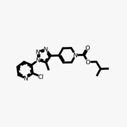 Cc1c(C2=CCN(C(=O)OCC(C)C)CC2)nnn1-c1cccnc1Cl